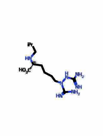 CC(C)CN[C@H](CCCCN(NC(=N)N)C(=N)N)C(=O)O